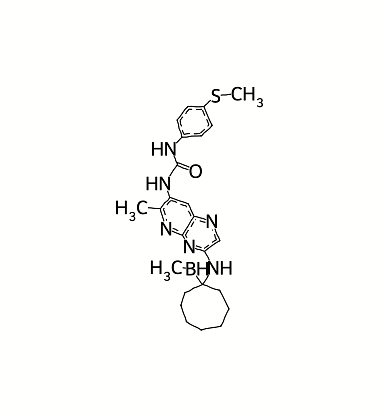 CBC1(Nc2cnc3cc(NC(=O)Nc4ccc(SC)cc4)c(C)nc3n2)CCCCCCC1